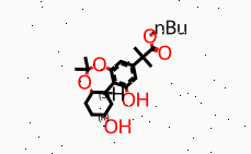 CCCCOC(=O)C(C)(C)c1cc(O)c2c(c1)OC(C)(C)OC1CC[C@@H](O)C[C@@H]21